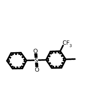 Cc1ccc(S(=O)(=O)c2ccccc2)cc1C(F)(F)F